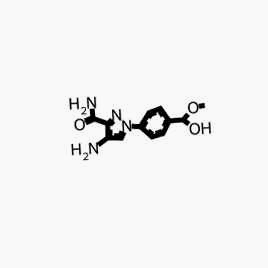 COC(O)c1ccc(-n2cc(N)c(C(N)=O)n2)cc1